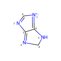 C1=NC2=NCNC2=[N+]1